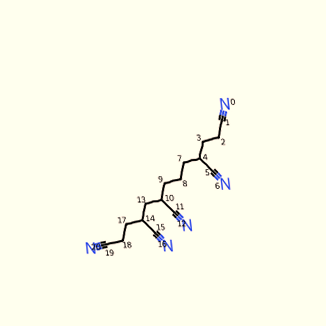 N#CCCC(C#N)CCCC(C#N)CC(C#N)CCC#N